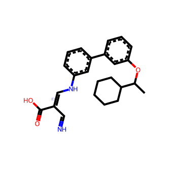 CC(Oc1cccc(-c2cccc(N/C=C(\C=N)C(=O)O)c2)c1)C1CCCCC1